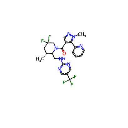 C[C@@H]1CC(F)(F)CN(C(=O)c2cnn(C)c2-c2ccccn2)C1CNc1ncc(C(F)(F)F)cn1